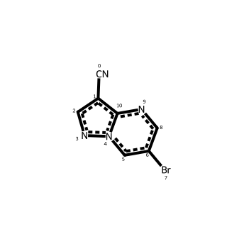 N#Cc1cnn2cc(Br)cnc12